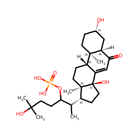 CC(C(CCC(C)(C)O)OP(=O)(O)O)[C@H]1CC[C@@]2(O)C3=CC(=O)[C@@H]4C[C@@H](O)CC[C@]4(C)[C@H]3CC[C@]12C